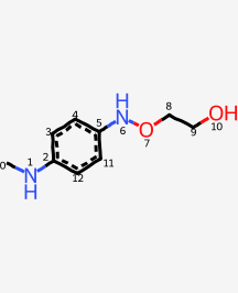 CNc1ccc(NOCCO)cc1